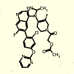 CC(=O)OCC(=O)N1CCC(N2c3c(cnc4cc(F)c(-c5ccc(Oc6ncccn6)cc5Cl)cc34)NC2C)=C(F)C1